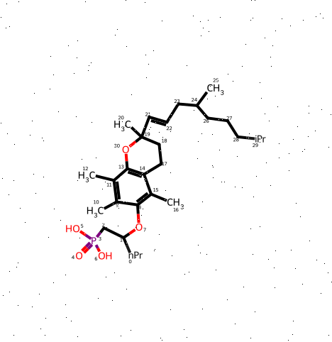 CCCC(CP(=O)(O)O)Oc1c(C)c(C)c2c(c1C)CCC(C)(C=CCC(C)CCCC(C)C)O2